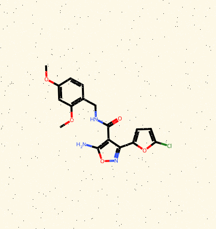 COc1ccc(CNC(=O)c2c(-c3ccc(Cl)o3)noc2N)c(OC)c1